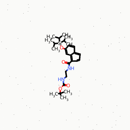 CC(C)[Si](Oc1ccc2cccc(C(=O)NCCNC(=O)OC(C)(C)C)c2c1)(C(C)C)C(C)C